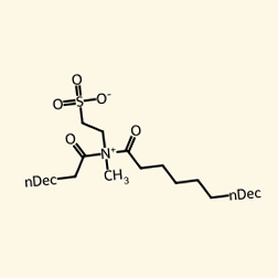 CCCCCCCCCCCCCCCC(=O)[N+](C)(CCS(=O)(=O)[O-])C(=O)CCCCCCCCCCC